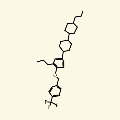 CCCc1cc(C2CCC(C3CCC(CCC)CC3)CC2)ccc1OCc1ccc(C(F)(F)F)cc1